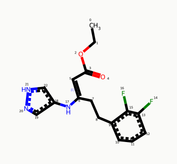 CCOC(=O)/C=C(\CCc1cccc(F)c1F)Nc1cn[nH]c1